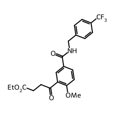 CCOC(=O)CCC(=O)c1cc(C(=O)NCc2ccc(C(F)(F)F)cc2)ccc1OC